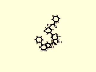 O=C(Nc1cncc(-c2cc3c(-c4cc5c(N6CCCCC6)nccc5[nH]4)n[nH]c3cn2)c1)C1CCCCC1